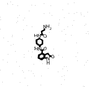 NCCC(=O)NC1CCC(NC(=O)c2cccc3c2CC(=O)N3)CC1